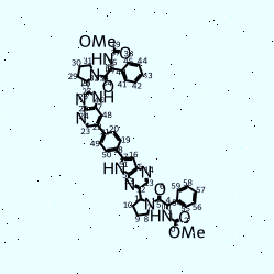 COC(=O)N[C@@H](C(=O)N1CCCC1c1cnc2cc(-c3ccc(-c4cnc5nc([C@@H]6CCCN6C(=O)[C@H](NC(=O)OC)c6ccccc6)[nH]c5c4)cc3)[nH]c2n1)c1ccccc1